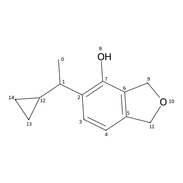 CC(c1ccc2c(c1O)COC2)C1CC1